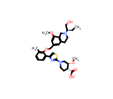 CC[C@H](CO)N1CCc2cc(COc3c(C)cccc3-c3csc(N4CC[C@@H](C(=O)O)[C@@H](OC)C4)n3)cc(OC)c2C1